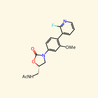 COc1cc(N2C[C@H](CNC(C)=O)OC2=O)ccc1-c1cccnc1F